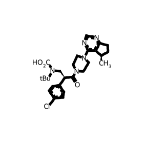 C[C@@H]1CCc2ncnc(N3CCN(C(=O)[C@H](CN(C(=O)O)C(C)(C)C)c4ccc(Cl)cc4)CC3)c21